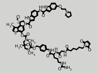 Cc1csc2c(OC(=O)N(C)CC(C)(C)CN(C)C(=O)OCc3ccc(NC(=O)C(CCCNC(N)=O)NC(=O)CNC(=O)CCCCCN4C(=O)C=CC4=O)cc3)cc3c(c12)[C@H](CCl)CN3C(=O)c1cc2cc(NC(=O)c3cc4cc(OCCN5CCCC5)ccc4[nH]3)ccc2[nH]1